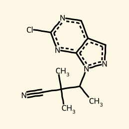 CC(n1ncc2cnc(Cl)nc21)C(C)(C)C#N